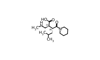 CNC[C@@H](C(=O)O)[C@@H](CC(C)C)C(=O)N1CCCCC1